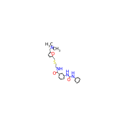 CN(C)Cc1ccc(CSCCNC(=O)c2cccc(NC(=O)Nc3ccccc3)c2)o1